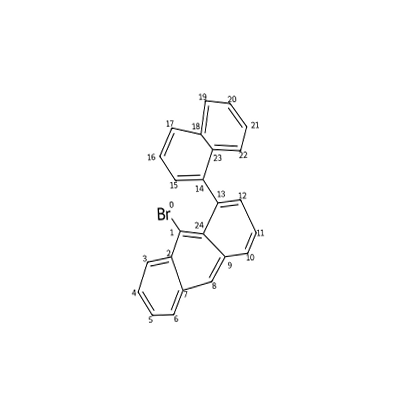 Brc1c2ccccc2cc2cccc(-c3cccc4ccccc34)c12